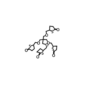 O=C1CCC(COCC(COCC2CCC(=O)S2)(COCC2CCC(=O)S2)COCC2CCC(=O)S2)S1